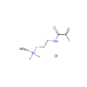 C=C(C)C(=O)NCCC[N+](C)(C)CCCCCC.[Cl-]